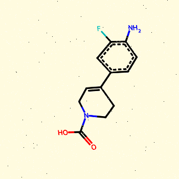 Nc1ccc(C2=CCN(C(=O)O)CC2)cc1F